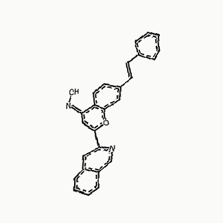 O/N=c1/cc(-c2cc3ccccc3cn2)oc2cc(/C=C/c3ccccc3)ccc12